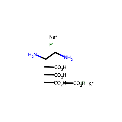 CC(=O)O.CC(=O)O.CC(=O)O.CC(=O)O.NCCN.[F-].[F-].[K+].[Na+]